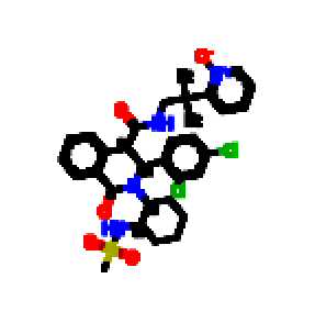 CCC(CC)(CNC(=O)[C@@H]1c2ccccc2C(=O)N([C@H]2CCCC[C@@H]2NS(C)(=O)=O)[C@H]1c1ccc(Cl)cc1Cl)c1cccc[n+]1[O-]